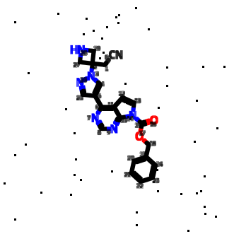 N#CCC1(n2cc(-c3ncnc4c3ccn4C(=O)OCc3ccccc3)cn2)CNC1